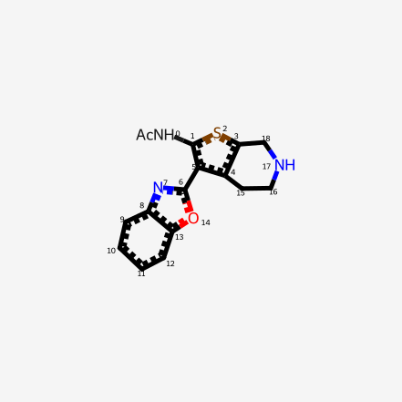 CC(=O)Nc1sc2c(c1-c1nc3ccccc3o1)CCNC2